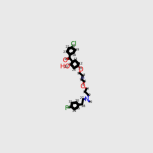 CN(CCCOC/C=C/COc1ccc(C(=O)c2ccc(Cl)cc2)c(O)c1)CCc1ccc(F)cc1